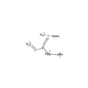 C=CC(=O)NCCCC.CNC